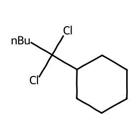 CCCCC(Cl)(Cl)C1CCCCC1